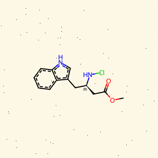 COC(=O)C[C@@H](Cc1c[nH]c2ccccc12)NCl